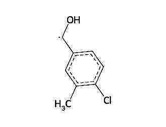 Cc1cc([CH]O)ccc1Cl